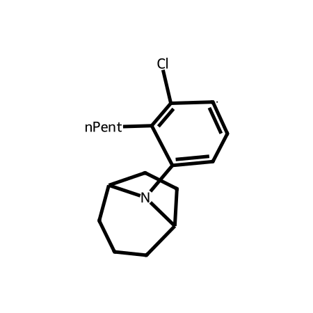 CCCCCc1c(Cl)[c]ccc1N1C2CCCC1CC2